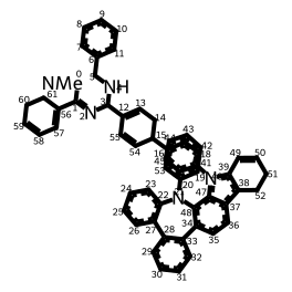 CN/C(=N\C(NCc1ccccc1)C1=CCC(c2cccc(N3c4ccccc4-c4ccccc4-c4ccc5c6c(n(-c7ccccc7)c5c43)C=CCC6)c2)C=C1)C1=CC=CCC1